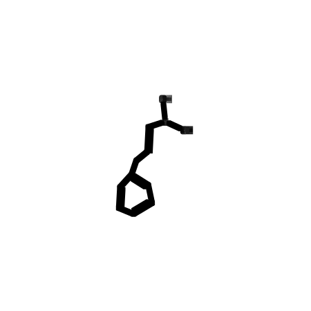 OB(O)C=CCc1ccccc1